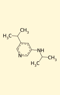 CC(C)Nc1cncc(C(C)C)c1